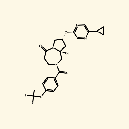 O=C(c1ccc(OC(F)(F)F)cc1)N1CCC(=O)N2C[C@H](Oc3cnc(C4CC4)cn3)C[C@@H]2C1